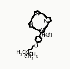 C[N+](C)(C)CCCOc1ccc(C2=CC3=CC4=NC(=CC5=NC(=CC6=NC(=CC2=N3)C=C6)C=C5)C=C4)cc1.Cl.Cl